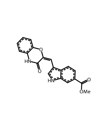 COC(=O)c1ccc2c(C=C3Oc4ccccc4NC3=O)c[nH]c2c1